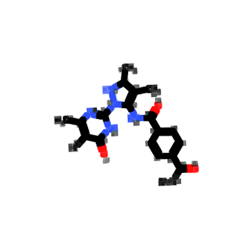 CCc1c(C)nc(N2NC(C)C(C)=C2NC(=O)c2ccc(C(=O)NC)cc2)[nH]c1=O